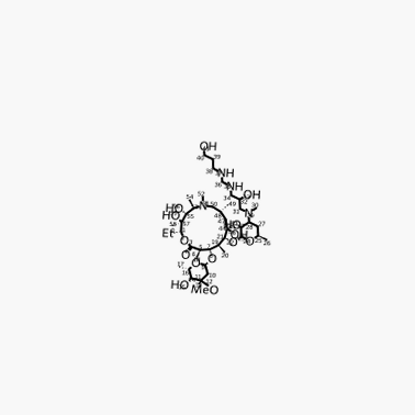 CC[C@H]1OC(=O)[C@H](C)[C@@H](O[C@H]2C[C@@](C)(OC)[C@@H](O)[C@H](C)O2)[C@H](C)[C@@H](O[C@@H]2O[C@H](C)CC(N(C)CC(O)CNCNCCCO)[C@H]2O)[C@](C)(O)C[C@@H](C)CN(C)[C@H](C)[C@@H](O)[C@]1(C)O